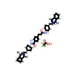 O=C(CCc1ccc(C(=O)N[C@H]2CC[C@H](CCN3[C@@H]4CC[C@H]3c3ccccc34)CC2)cc1)N[C@H]1CC[C@H](CCN2[C@@H]3CC[C@H]2c2ccccc23)CC1.O=C(O)C(F)(F)F